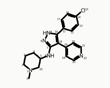 CN1CCCC(Nc2n[nH]c(-c3ccc(Cl)cc3)c2-c2ccncc2)C1